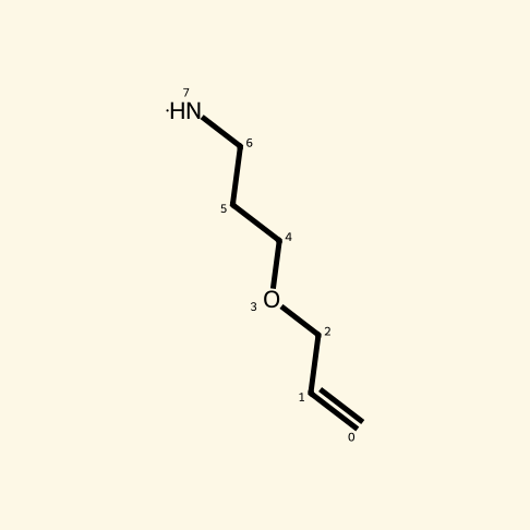 C=CCOCCC[NH]